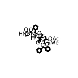 CSC(OC(C)=O)C1=C(C(=O)OC(c2ccccc2)c2ccccc2)N2C(=O)[C@@H](NC(=O)C(NC(=O)N3CCNC3=O)c3ccccc3)[C@H]2SC1